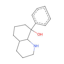 OC1(c2ccccc2)CCCC2CCCNC21